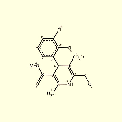 CCOC(=O)C1=C(C[O])NC(C)=C(C(=O)OC)C1c1cccc(Cl)c1Cl